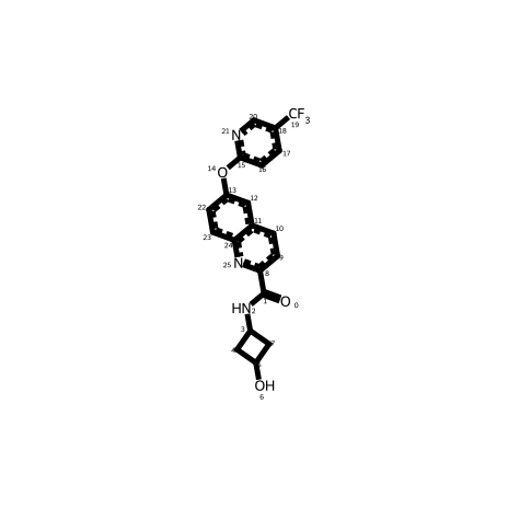 O=C(NC1CC(O)C1)c1ccc2cc(Oc3ccc(C(F)(F)F)cn3)ccc2n1